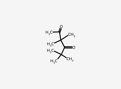 CC(=O)C(C)(C)C(=O)C(C)(C)C